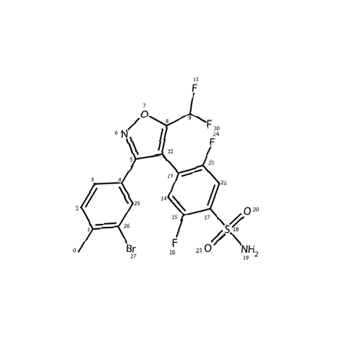 Cc1ccc(-c2noc(C(F)F)c2-c2cc(F)c(S(N)(=O)=O)cc2F)cc1Br